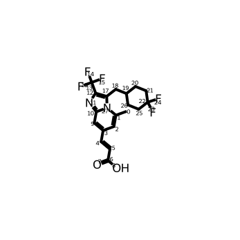 Cc1cc(/C=C/C(=O)O)cc2nc(C(F)(F)F)c(CC3CCC(F)(F)CC3)n12